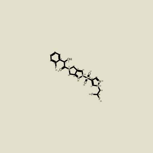 O=C(C(O)c1ccccc1F)N1Cc2cn(S(=O)(=O)c3cnn(CC(F)F)c3)nc2C1